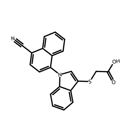 N#Cc1ccc(-n2cc(SCC(=O)O)c3ccccc32)c2ccccc12